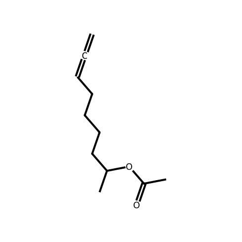 C=C=CCCCCC(C)OC(C)=O